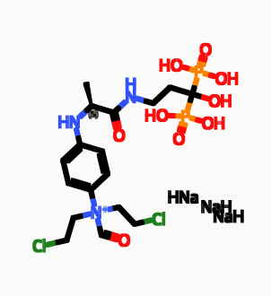 C[C@H](Nc1ccc([N+](C=O)(CCCl)CCCl)cc1)C(=O)NCCC(O)(P(=O)(O)O)P(=O)(O)O.[NaH].[NaH].[NaH]